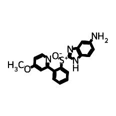 COc1ccnc(-c2ccccc2[S+]([O-])c2nc3cc(N)ccc3[nH]2)c1